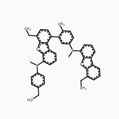 CCc1ccc(N(I)c2cccc3c2sc2c(CC)ccc(-c4cc(N(I)c5cccc6c5sc5c(CC)cccc56)ccc4C)c23)cc1